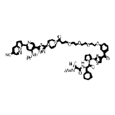 CN[C@@H](C)C(=O)N[C@H](C(=O)N1CCC[C@H]1c1nc(C(=O)c2cccc(OCCOCCOCCOCCC(=O)N3CCN(c4nnc(-c5cnc(-c6ccc7cc(C#N)cnn67)cc5NC(C)C)s4)CC3)c2)cs1)C1CCCCC1